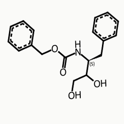 O=C(N[C@@H](Cc1ccccc1)C(O)CO)OCc1ccccc1